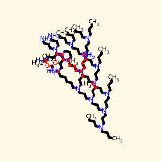 CCCCN(CCCC)CCCN(CCCN(CCCC)CCCC)CCCN(CCCN(CCCCCCNC(=O)OC(C)(C)C)CCCN(CCCN(CCCN(CCCC)CCCC)CCCN(CCCC)CCCC)CCCN(CCCN(CCCN)CCCN)CCCN(CCCN)CCCN)CCCN(CCCN(CCCC)CCCN)CCCN(CCCC)CCCN